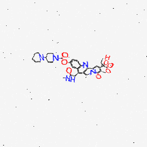 CC[C@@]1(O)C(=O)OCc2c1cc1n(c2=O)Cc2c-1nc1ccc(OC(=O)N3CCC(N4CCCCC4)CC3)cc1c2CC(=O)NC